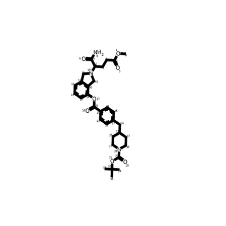 COC(=O)CCC(C(N)=O)N1Cc2cccc(OC(=O)c3ccc(CC4CCN(C(=O)OC(C)(C)C)CC4)cc3)c2C1